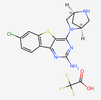 Nc1nc(N2C[C@@H]3C[C@H]2CN3)c2sc3cc(Cl)ccc3c2n1.O=C(O)C(F)(F)F